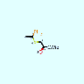 COC(=O)CSC(C)P